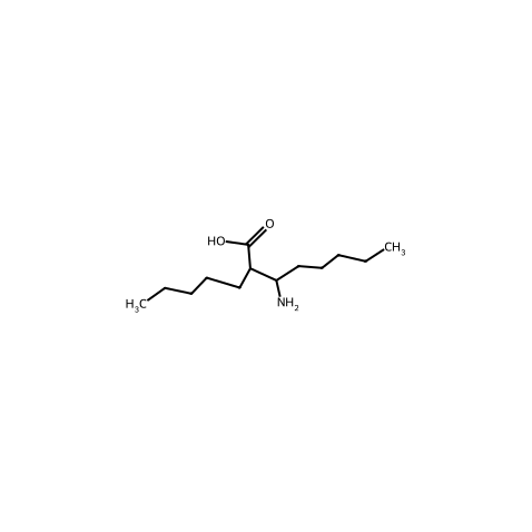 CCCCCC(N)C(CCCCC)C(=O)O